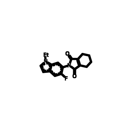 CCn1ccc2cc(F)c(N3C(=O)C4=C(CCCC4)C3=O)cc21